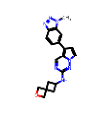 Cn1nnc2ccc(-c3ccn4nc(NC5CC6(COC6)C5)ncc34)cc21